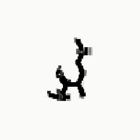 CNCCC(C)C(=O)NC